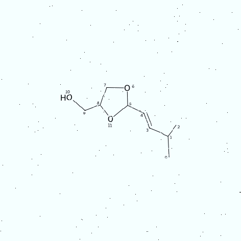 CC(C)C=CC1OCC(CO)O1